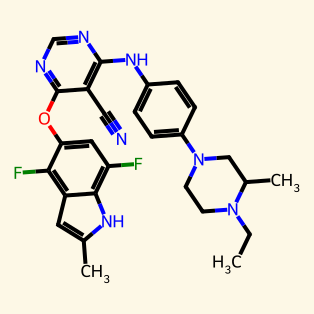 CCN1CCN(c2ccc(Nc3ncnc(Oc4cc(F)c5[nH]c(C)cc5c4F)c3C#N)cc2)CC1C